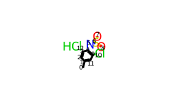 Cc1ccc(N=S(=O)=O)c(Cl)c1.Cl